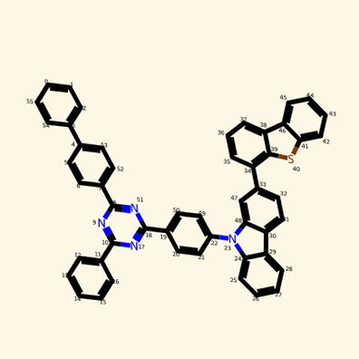 c1ccc(-c2ccc(-c3nc(-c4ccccc4)nc(-c4ccc(-n5c6ccccc6c6ccc(-c7cccc8c7sc7ccccc78)cc65)cc4)n3)cc2)cc1